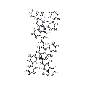 CC1(C)c2ccccc2-c2ccc(N(c3cccc(-c4ccccc4)c3)c3ccc(/C=C/c4ccc(N(c5cccc(-c6ccccc6)c5)c5ccc6c(c5)C(C)(C)c5ccccc5-6)c5ccc6ccccc6c45)c4ccccc34)cc21